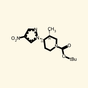 C[C@@H]1CN(C(=O)OC(C)(C)C)CC[C@@H]1n1cc([N+](=O)[O-])cn1